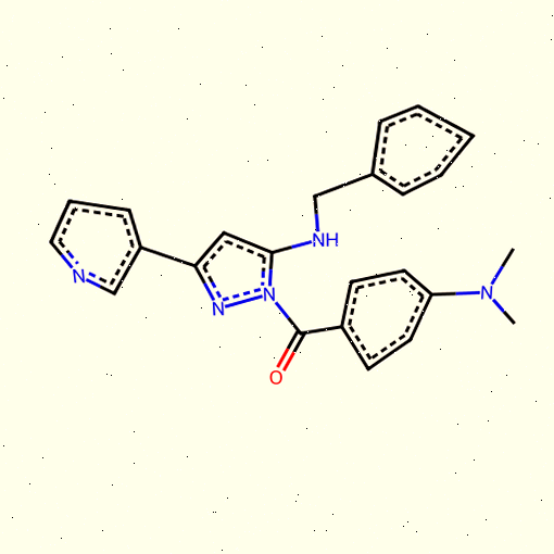 CN(C)c1ccc(C(=O)n2nc(-c3cccnc3)cc2NCc2ccccc2)cc1